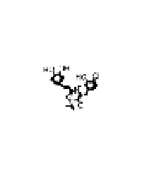 CC(C)OC(=O)[C@@H](Cc1ccc(O)c(O)c1)N(C)C(=O)C=Cc1ccc(O)c(O)c1